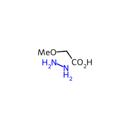 COCC(=O)O.NN